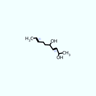 C/C=C/CCC(O)/C=C/C(C)O